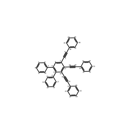 C(#Cc1cc(-c2ccccc2)c(-c2ccccc2)c(C#Cc2ccccc2)c1C#Cc1ccccc1)c1ccccc1